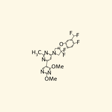 COc1ncc(-c2cc(N3C[C@H](Oc4ccc(F)c(C(F)F)c4)C(F)(F)C3)nc(C)n2)c(OC)n1